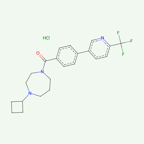 Cl.O=C(c1ccc(-c2ccc(C(F)(F)F)nc2)cc1)N1CCCN(C2CCC2)CC1